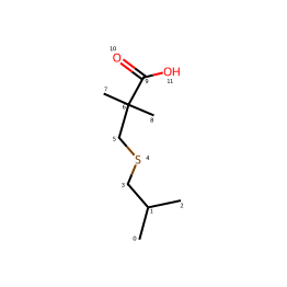 CC(C)CSCC(C)(C)C(=O)O